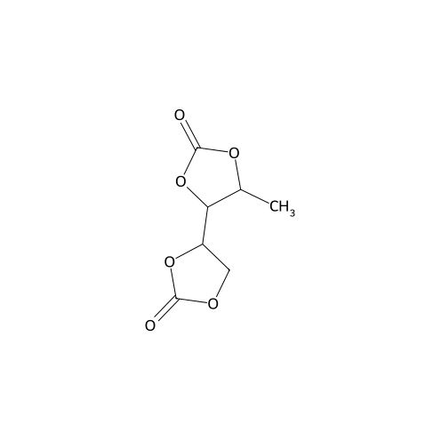 CC1OC(=O)OC1C1COC(=O)O1